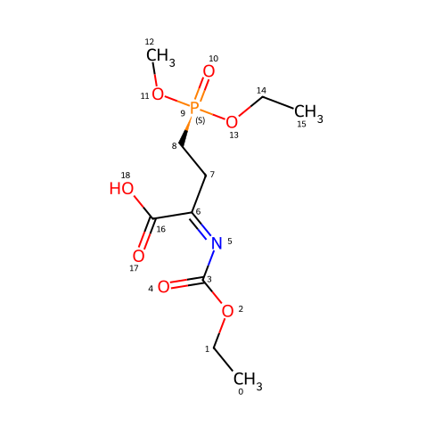 CCOC(=O)N=C(CC[P@](=O)(OC)OCC)C(=O)O